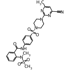 Cc1cc(C#N)nc(N2CCN(S(=O)(=O)c3ccc(NC(=O)c4ccccc4N(C)S(C)(=O)=O)cc3)CC2)n1